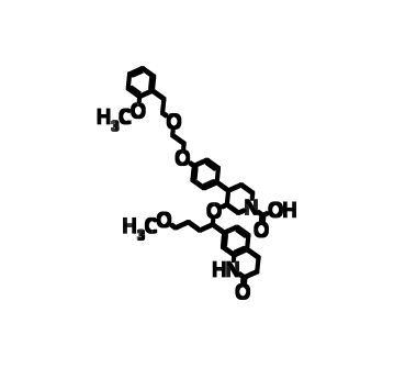 COCCCC(OC1CN(C(=O)O)CCC1c1ccc(OCCOCCc2ccccc2OC)cc1)c1ccc2c(c1)NC(=O)CC2